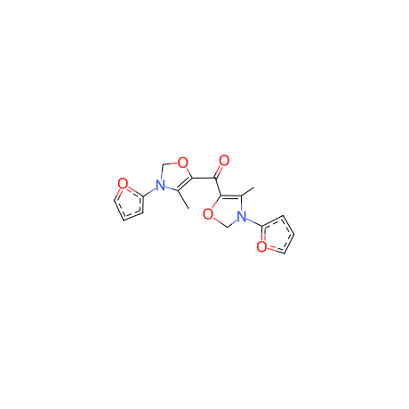 CC1=C(C(=O)C2=C(C)N(c3ccco3)CO2)OCN1c1ccco1